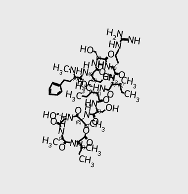 CC[C@@H](C)[C@@H](NC(=O)[C@@H](CCCNC(=N)N)NC(=O)[C@H](CO)NC(=O)[C@@H](NC(=O)[C@@H](CCc1ccccc1)NC)[C@@H](C)CC)C(=O)N[C@H](C(=O)N[C@@H](CO)C(=O)N[C@H]1C(=O)N[C@@H](CO)C(=O)N[C@@H](C)C(=O)N[C@@H]([C@@H](C)CC)C(=O)O[C@H]1C)[C@@H](C)CC